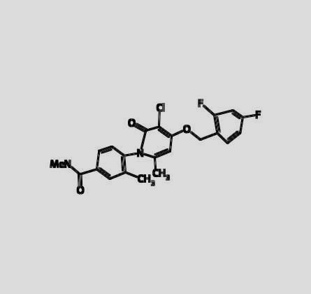 CNC(=O)c1ccc(-n2c(C)cc(OCc3ccc(F)cc3F)c(Cl)c2=O)c(C)c1